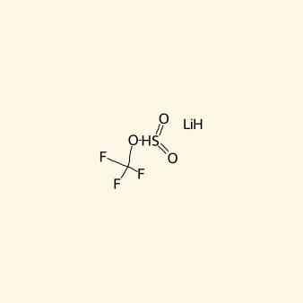 O=[SH](=O)OC(F)(F)F.[LiH]